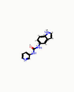 O=C(Nc1cccnc1)Nc1ccc2[nH]ccc2c1